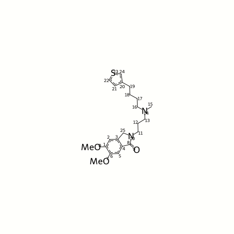 COc1cc2c(cc1OC)C(=O)N(CCCN(C)CCCCc1ccsc1)C2